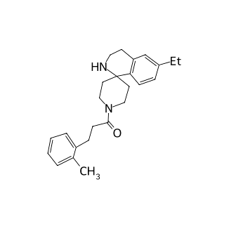 CCc1ccc2c(c1)CCNC21CCN(C(=O)CCc2ccccc2C)CC1